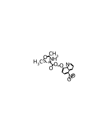 CSC[C@H](NC(C)=O)C(=O)OCOc1ccc([N+](=O)[O-])c2cccnc12